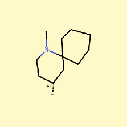 C[C@@H]1CCN(C)C2(CCCCC2)C1